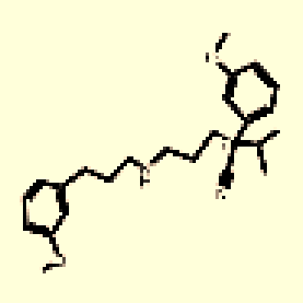 COc1cccc(CCCNCCC[C@@](C#N)(c2cccc(OC)c2)C(C)C)c1